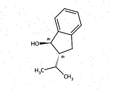 CC(C)[C@H]1Cc2ccccc2[C@@H]1O